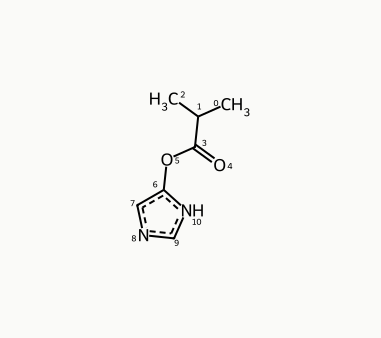 CC(C)C(=O)Oc1cnc[nH]1